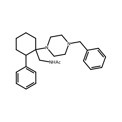 CC(=O)NCC1(N2CCN(Cc3ccccc3)CC2)CCCCC1c1ccccc1